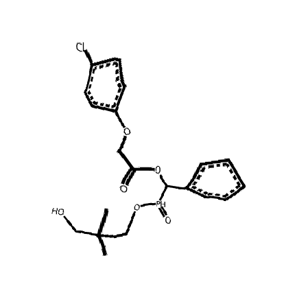 CC(C)(CO)CO[PH](=O)C(OC(=O)COc1ccc(Cl)cc1)c1ccccc1